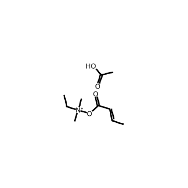 CC(=O)O.CC=CC(=O)O[N+](C)(C)CC